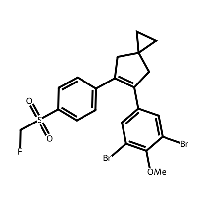 COc1c(Br)cc(C2=C(c3ccc(S(=O)(=O)CF)cc3)CC3(CC3)C2)cc1Br